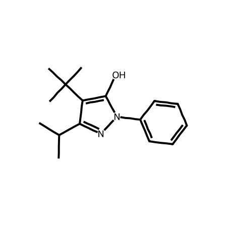 CC(C)c1nn(-c2ccccc2)c(O)c1C(C)(C)C